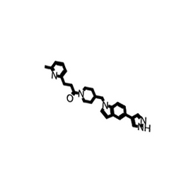 Cc1cccc(CCC(=O)N2CCC(Cn3ccc4cc(-c5cn[nH]c5)ccc43)CC2)n1